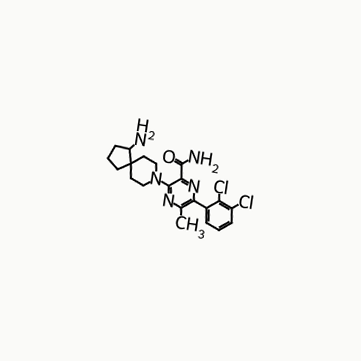 Cc1nc(N2CCC3(CCCC3N)CC2)c(C(N)=O)nc1-c1cccc(Cl)c1Cl